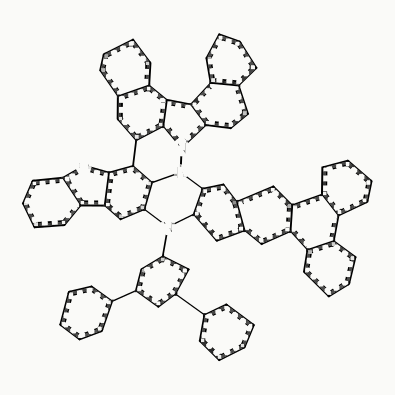 c1ccc(-c2cc(-c3ccccc3)cc(N3c4cc5cc6c7ccccc7c7ccccc7c6cc5cc4B4c5c3cc3c(oc6ccccc63)c5-c3cc5ccccc5c5c6c7ccccc7ccc6n4c35)c2)cc1